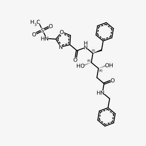 CS(=O)(=O)Nc1nc(C(=O)N[C@@H](Cc2ccccc2)[C@@H](O)[C@H](O)CC(=O)NCc2ccccc2)co1